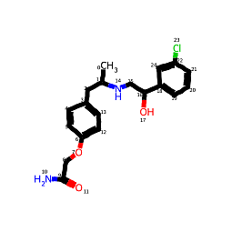 CC(Cc1ccc(OCC(N)=O)cc1)NCC(O)c1cccc(Cl)c1